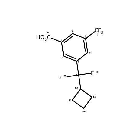 O=C(O)c1cc(C(F)(F)F)cc(C(F)(F)C2CCC2)c1